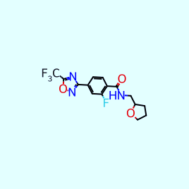 O=C(NCC1CCCO1)c1ccc(-c2noc(C(F)(F)F)n2)cc1F